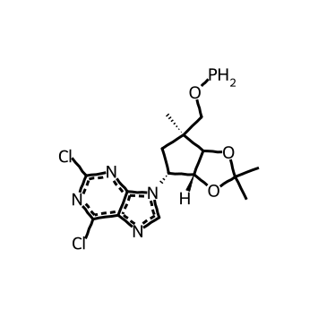 CC1(C)OC2[C@H](O1)[C@H](n1cnc3c(Cl)nc(Cl)nc31)C[C@@]2(C)COP